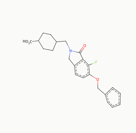 O=C(O)C1CCC(CN2Cc3ccc(OCc4ccccc4)c(F)c3C2=O)CC1